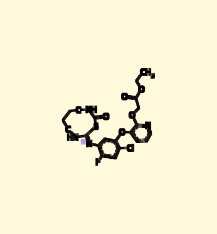 CCOC(=O)COc1ncccc1Oc1cc(/N=C2/NCCCCNC(=O)S2)c(F)cc1Cl